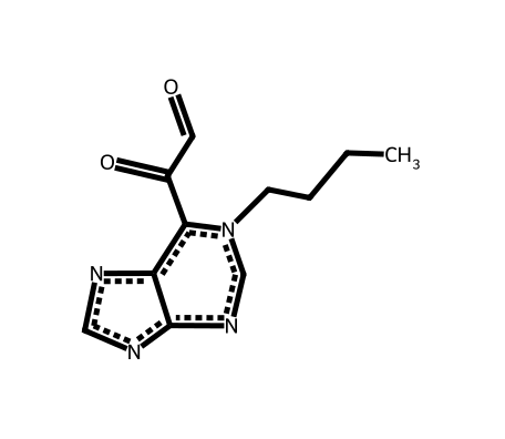 CCCCn1cnc2ncnc-2c1C(=O)C=O